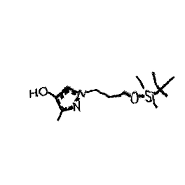 Cc1nn(CCCO[Si](C)(C)C(C)(C)C)cc1O